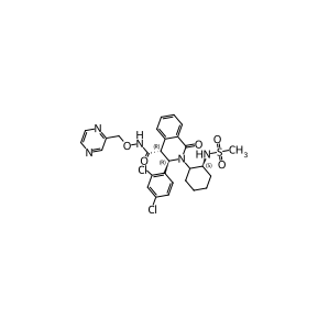 CS(=O)(=O)N[C@H]1CCCCC1N1C(=O)c2ccccc2[C@@H](C(=O)NOCc2cnccn2)[C@@H]1c1ccc(Cl)cc1Cl